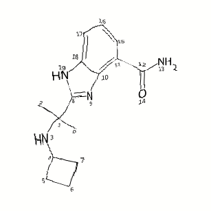 CC(C)(NC1CCC1)c1nc2c(C(N)=O)cccc2[nH]1